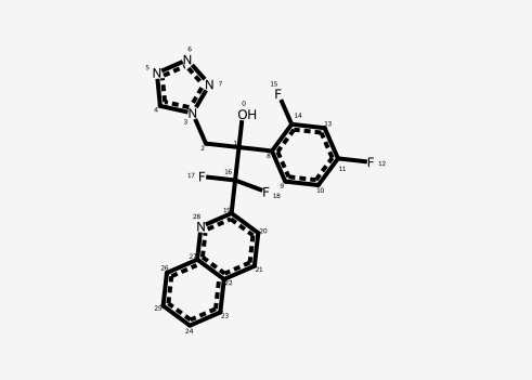 OC(Cn1cnnn1)(c1ccc(F)cc1F)C(F)(F)c1ccc2ccccc2n1